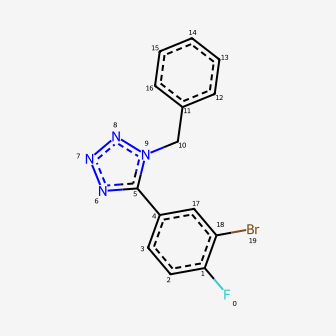 Fc1ccc(-c2nnnn2Cc2ccccc2)cc1Br